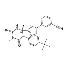 CN1C(=N)N[C@](C)(c2ccc(-c3cccc(C#N)c3)s2)C(c2ccc(C(C)(C)C)cc2)C1=O